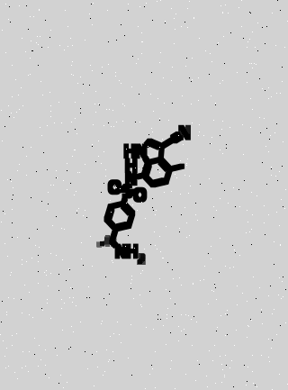 Cc1ccc(NS(=O)(=O)c2ccc([C@@H](C)N)cc2)c2[nH]cc(C#N)c12